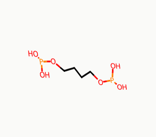 OP(O)OCCCCOP(O)O